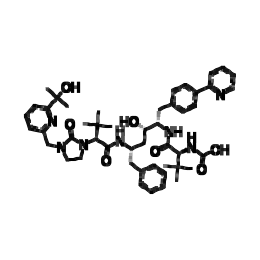 CC(C)(O)c1cccc(CN2CCN([C@H](C(=O)N[C@@H](Cc3ccccc3)C[C@H](O)[C@H](Cc3ccc(-c4ccccn4)cc3)NC(=O)[C@@H](NC(=O)O)C(C)(C)C)C(C)(C)C)C2=O)n1